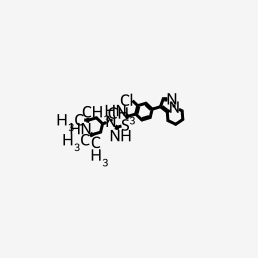 CN(C(=N)SC(=N)c1ccc(-c2cnn3c2CCCC3)cc1Cl)C1CC(C)(C)NC(C)(C)C1